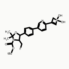 CC(C)(C)OC(=O)N1C(CF)C(c2ccc(-c3ccc(C4=CS(O)(O)C4)nc3)cc2)OC1(C)C